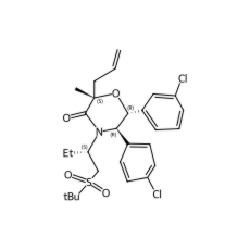 C=CC[C@]1(C)O[C@H](c2cccc(Cl)c2)[C@@H](c2ccc(Cl)cc2)N([C@@H](CC)CS(=O)(=O)C(C)(C)C)C1=O